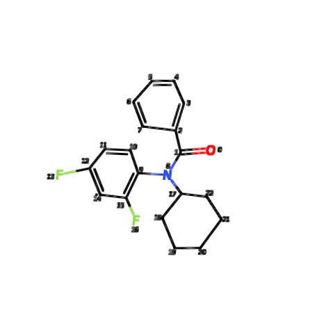 O=C(c1ccccc1)N(c1ccc(F)[c]c1F)C1CCCCC1